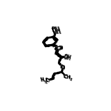 CCCC(C)OCC(O)COc1cccc(O)c1